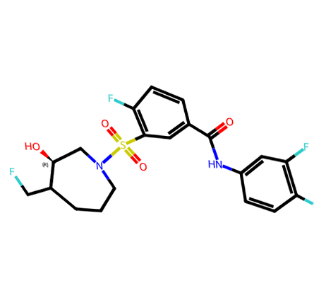 O=C(Nc1ccc(F)c(F)c1)c1ccc(F)c(S(=O)(=O)N2CCCC(CF)[C@@H](O)C2)c1